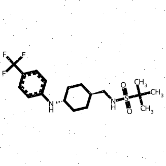 CC(C)(C)S(=O)(=O)NC[C@H]1CC[C@H](Nc2ccc(C(F)(F)F)cc2)CC1